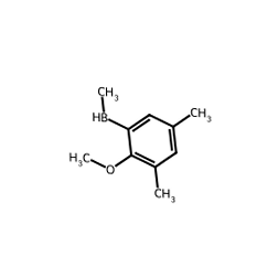 CBc1cc(C)cc(C)c1OC